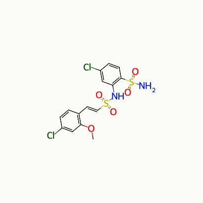 COc1cc(Cl)ccc1/C=C/S(=O)(=O)Nc1cc(Cl)ccc1S(N)(=O)=O